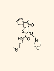 CN(C)CCCNC(=O)C1Sc2c(c(=O)n(C)c3ccccc23)C1OCCN1CCOCC1